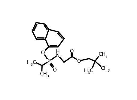 CC(C)P(=O)(NCC(=O)OCC(C)(C)C)Oc1cccc2ccccc12